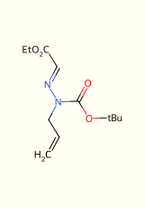 C=CCN(/N=C/C(=O)OCC)C(=O)OC(C)(C)C